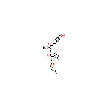 C=CCOC(=O)CCC[C@H](C(=O)CCC[C@@H](C)C(=O)CCCc1ccc(CO)cc1)C(C)C